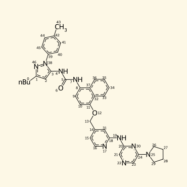 CCCCc1cc(NC(=O)Nc2ccc(OCc3ccnc(Nc4cncc(N5CCCC5)n4)c3)c3ccccc23)n(-c2ccc(C)cc2)n1